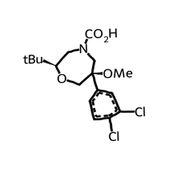 CO[C@@]1(c2ccc(Cl)c(Cl)c2)CO[C@@H](C(C)(C)C)CN(C(=O)O)C1